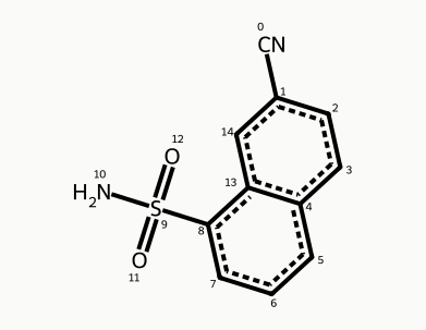 N#Cc1ccc2cccc(S(N)(=O)=O)c2c1